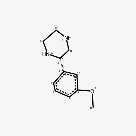 COc1cccc([C@H]2CNCCN2)c1